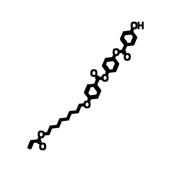 C=CC(=O)OCCCCCCCCOc1ccc(C(=O)Oc2ccc(OC(=O)c3ccc(O)cc3)cc2)cc1